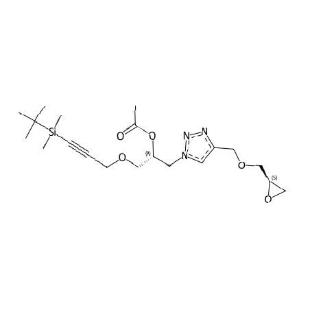 CC(=O)O[C@@H](COCC#C[Si](C)(C)C(C)(C)C)Cn1cc(COC[C@H]2CO2)nn1